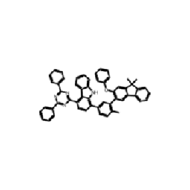 Cc1ccc(-c2ccc(-c3nc(-c4ccccc4)nc(-c4ccccc4)n3)c3c2[nH]c2ccccc23)cc1-c1cc2c(cc1Oc1ccccc1)C(C)(C)c1ccccc1-2